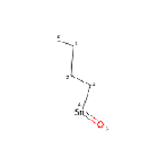 CCC[CH2][Sn]=[O]